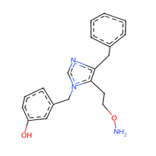 NOCCc1c(Cc2ccccc2)ncn1Cc1cccc(O)c1